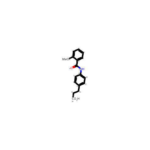 COc1ccccc1C(=O)Nc1ccc(CCC(=O)O)cc1